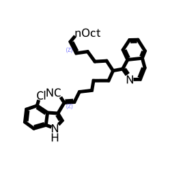 CCCCCCCC/C=C\CCCC(CCCC/C=C(\C#N)c1c[nH]c2cccc(Cl)c12)c1nccc2ccccc12